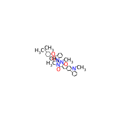 CCN1C(=O)C(=Cc2ccc3c(c2)c2ccccc2n3CC)C(=O)N(CC)C1=Nc1ccccc1C(=O)OC1CC(C(C)C)CCC1C